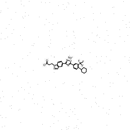 O=C([O-])CCn1ncc2cc(-c3noc(-c4ccc(C5CCCCC5)c(C(F)(F)F)c4)n3)ccc21.[Na+]